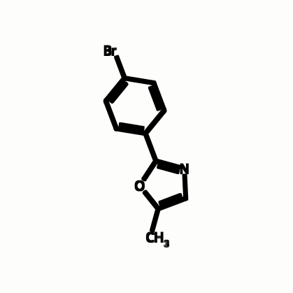 Cc1cnc(-c2ccc(Br)cc2)o1